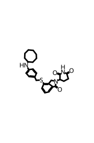 O=C1CCC(N2Cc3c(SCc4ccc(NC5CCCCCCC5)cc4)cccc3C2=O)C(=O)N1